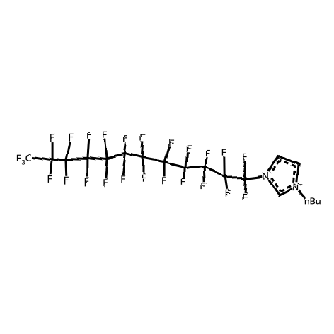 CCCC[n+]1ccn(C(F)(F)C(F)(F)C(F)(F)C(F)(F)C(F)(F)C(F)(F)C(F)(F)C(F)(F)C(F)(F)C(F)(F)C(F)(F)C(F)(F)F)c1